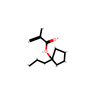 C=C(C)C(=O)OC1(CCC)CCCC1